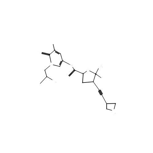 CC1(C#N)SC(C(=O)Nc2cc(F)c(=O)n(CC(F)F)c2)CC1C#CC1COC1